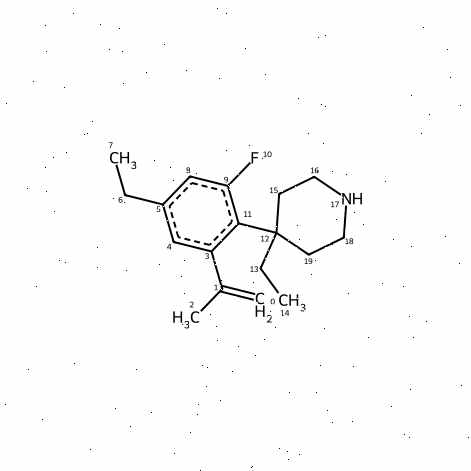 C=C(C)c1cc(CC)cc(F)c1C1(CC)CCNCC1